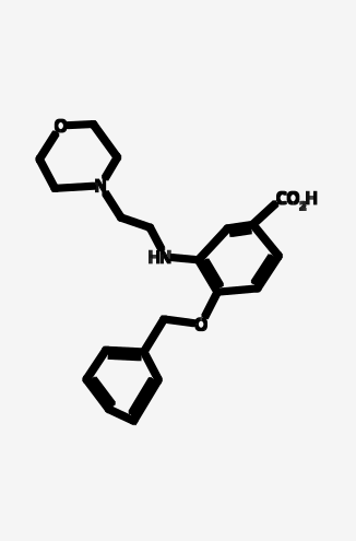 O=C(O)c1ccc(OCc2ccccc2)c(NCCN2CCOCC2)c1